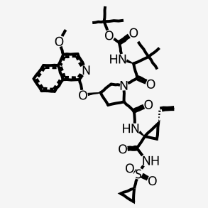 C=C[C@@H]1C[C@]1(NC(=O)C1C[C@@H](Oc2ncc(OC)c3ccccc23)CN1C(=O)[C@@H](NC(=O)OC(C)(C)C)C(C)(C)C)C(=O)NS(=O)(=O)C1CC1